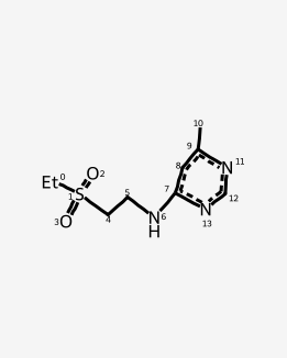 CCS(=O)(=O)CCNc1cc(C)ncn1